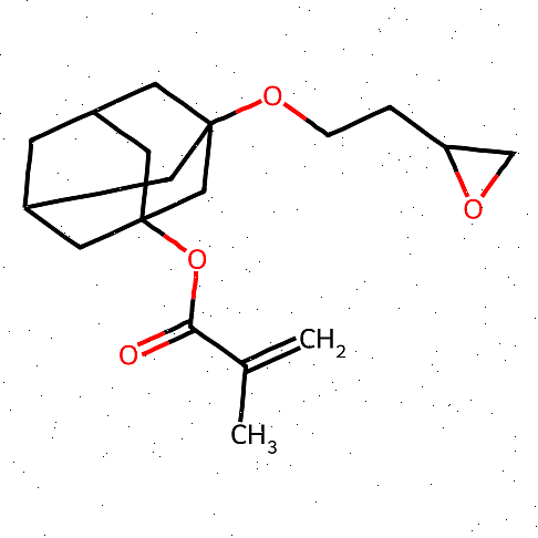 C=C(C)C(=O)OC12CC3CC(CC(OCCC4CO4)(C3)C1)C2